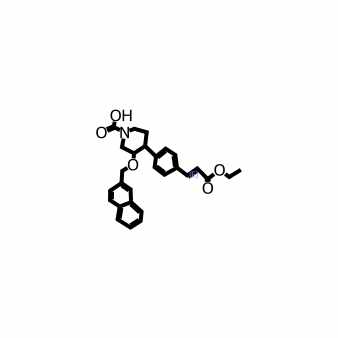 CCOC(=O)/C=C/c1ccc(C2CCN(C(=O)O)CC2OCc2ccc3ccccc3c2)cc1